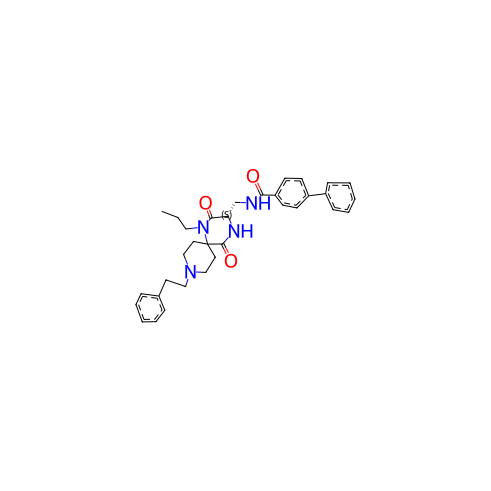 CCCN1C(=O)[C@H](CNC(=O)c2ccc(-c3ccccc3)cc2)NC(=O)C12CCN(CCc1ccccc1)CC2